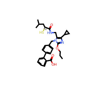 CCCOc1nc(C2CC2)c(CNC(=O)[C@@H](S)CC(C)C)n1Cc1ccc(-c2ccccc2C(=O)O)cc1